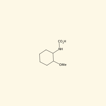 COC1CCCCC1NC(=O)O